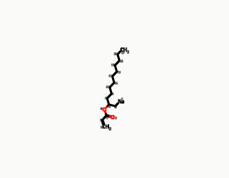 C=CC(=O)OC([CH2][Na])CCCCCCCCCC